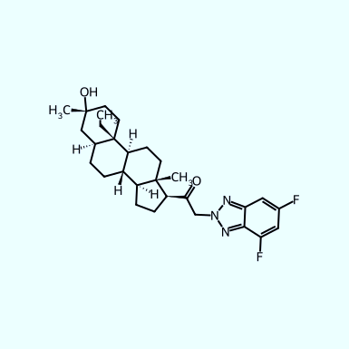 CC[C@]12CC[C@@](C)(O)C[C@@H]1CC[C@H]1[C@@H]3CC[C@H](C(=O)Cn4nc5cc(F)cc(F)c5n4)[C@@]3(C)CC[C@@H]12